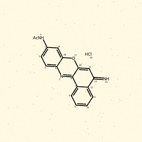 CC(=O)Nc1ccc2nc3c4ccccc4c(=N)cc-3oc2c1.Cl